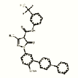 COc1ccc(N2N=C(C)C(C(=O)Nc3cccc(C(C)(F)F)c3)C2=O)cc1-c1ccc(-c2ccccc2)cc1